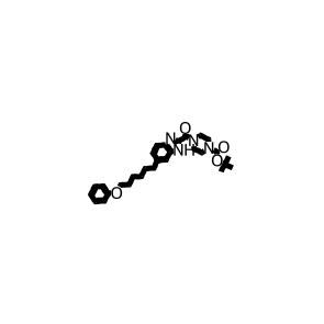 CC(C)(C)OC(=O)N1CCN(C(=O)c2nc3ccc(CCCCCCOc4ccccc4)cc3[nH]2)CC1